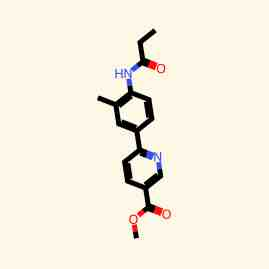 CCC(=O)Nc1ccc(-c2ccc(C(=O)OC)cn2)cc1C